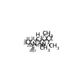 CCc1cccc(CC)c1-c1cc(C)c(CN2CCc3ccccc3C2C2CC2)c(C)n1